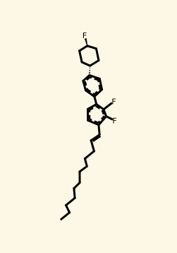 CCCCCCCCCCC=Cc1ccc(-c2ccc([C@H]3CC[C@H](F)CC3)cc2)c(F)c1F